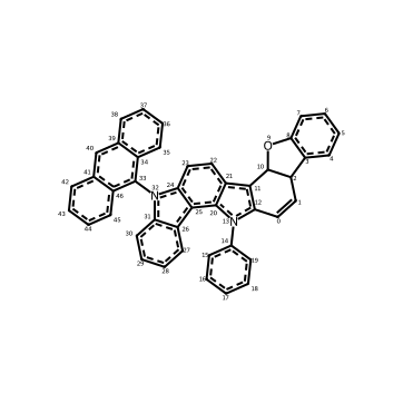 C1=CC2c3ccccc3OC2c2c1n(-c1ccccc1)c1c2ccc2c1c1ccccc1n2-c1c2ccccc2cc2ccccc12